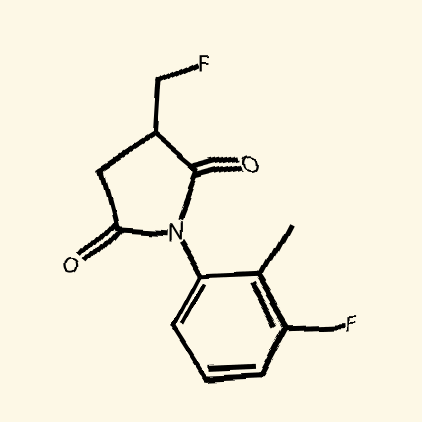 Cc1c(F)cccc1N1C(=O)CC(CF)C1=O